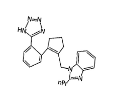 CCCc1nc2ccccc2n1CC1=C(c2ccccc2-c2nnn[nH]2)CCC1